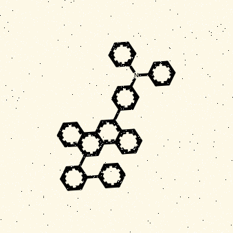 c1ccc(-c2ccccc2-c2cc3c4ccccc4c(-c4ccc(N(c5ccccc5)c5ccccc5)cc4)cc3c3ccccc23)cc1